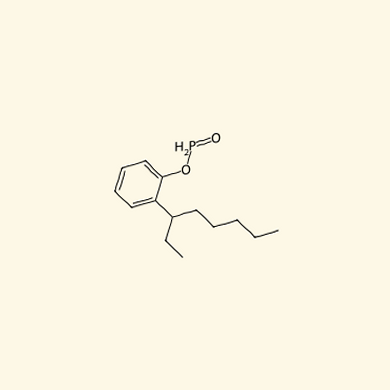 CCCCCC(CC)c1ccccc1O[PH2]=O